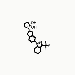 OS1(O)CCCN1[C@H]1Cc2ccc(-n3nc(C(F)(F)F)c4c3CCCC4)cc2C1